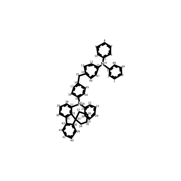 c1ccc(N(c2ccccc2)c2ccc(Cc3ccc(N(c4ccccc4)c4cccc5c4C4(CCCC4)c4ccccc4-5)cc3)cc2)cc1